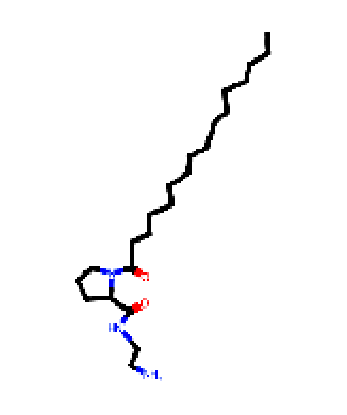 CCCCCCCCCCCCCCCC(=O)N1CCCC1C(=O)NCCN